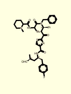 CCC(C)C(NC(=O)C1CCCCN1C)C(=O)N(Cc1ccccc1)[C@H](CC(=O)c1nc(C(=O)N[C@@H](Cc2ccc(F)cc2)C[C@H](C)C=O)cs1)C(C)C